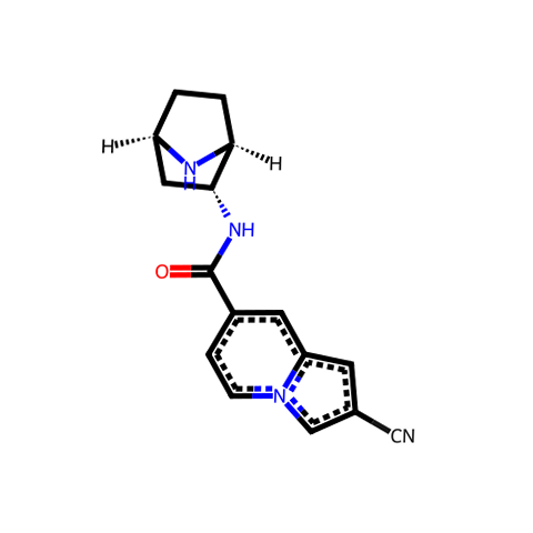 N#Cc1cc2cc(C(=O)N[C@@H]3C[C@H]4CC[C@@H]3N4)ccn2c1